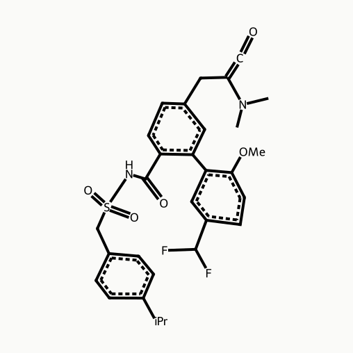 COc1ccc(C(F)F)cc1-c1cc(CC(=C=O)N(C)C)ccc1C(=O)NS(=O)(=O)Cc1ccc(C(C)C)cc1